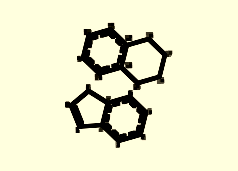 C1=Cc2ccccc2C1.c1ccc2c(c1)CCCC2